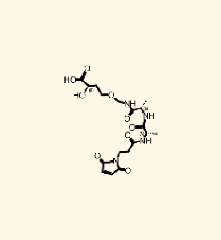 C[C@H](NC(=O)CCN1C(=O)C=CC1=O)C(=O)N[C@@H](C)C(=O)NCOCC[C@@H](O)C(=O)O